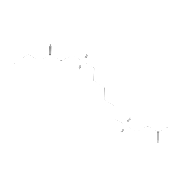 CCOC(=O)COS(=O)(=O)CCCCCCS(=O)(=O)OCC(C)=O